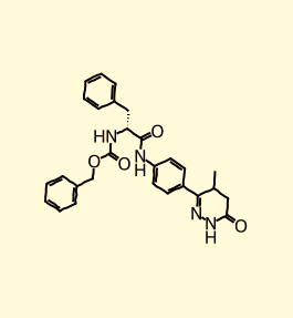 CC1CC(=O)NN=C1c1ccc(NC(=O)[C@@H](Cc2ccccc2)NC(=O)OCc2ccccc2)cc1